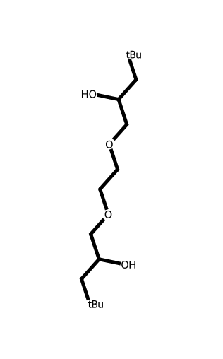 CC(C)(C)CC(O)COCCOCC(O)CC(C)(C)C